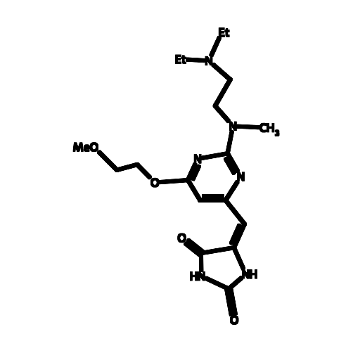 CCN(CC)CCN(C)c1nc(/C=C2/NC(=O)NC2=O)cc(OCCOC)n1